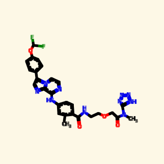 Cc1cc(Nc2nccn3c(-c4ccc(OC(F)F)cc4)cnc23)ccc1C(=O)NCCOCC(=O)N(C)c1nnn[nH]1